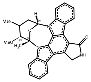 CNC1C[C@H]2O[C@@](C)([C@@H]1OC)n1c3ccccc3c3c4c(c5c6ccccc6n2c5c31)C(=O)NC4